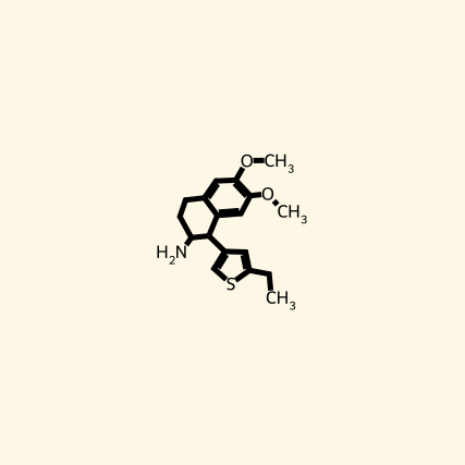 CCc1cc(C2c3cc(OC)c(OC)cc3CCC2N)cs1